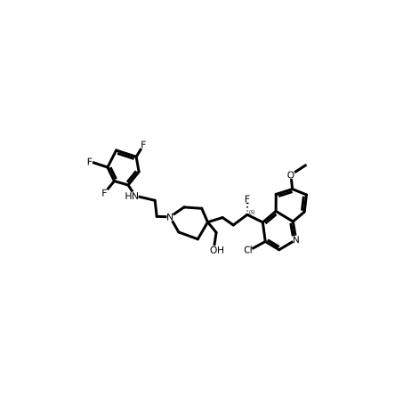 COc1ccc2ncc(Cl)c([C@@H](F)CCC3(CO)CCN(CCNc4cc(F)cc(F)c4F)CC3)c2c1